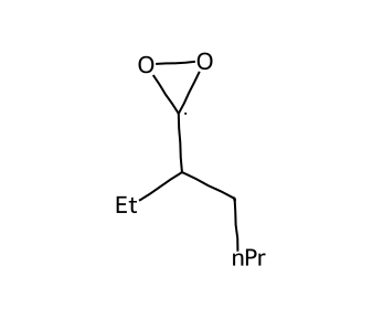 CCCCC(CC)[C]1OO1